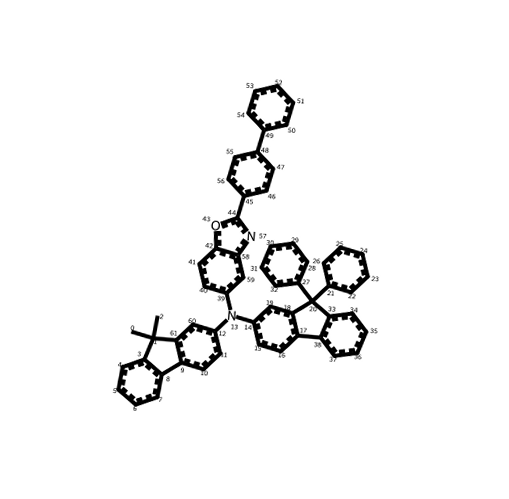 CC1(C)c2ccccc2-c2ccc(N(c3ccc4c(c3)C(c3ccccc3)(c3ccccc3)c3ccccc3-4)c3ccc4oc(-c5ccc(-c6ccccc6)cc5)nc4c3)cc21